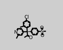 CC(=O)[C@](c1ccc(S(C)(=O)=O)cc1)(c1ccnc(C)c1)c1ccc(Cl)cc1C